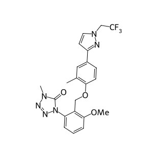 COc1cccc(-n2nnn(C)c2=O)c1COc1ccc(-c2ccn(CC(F)(F)F)n2)cc1C